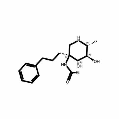 CCC(=O)N[C@@]1(CCCc2ccccc2)CN[C@H](C)[C@@H](O)[C@@H]1O